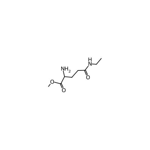 CCNC(=O)CCC(N)C(=O)OC